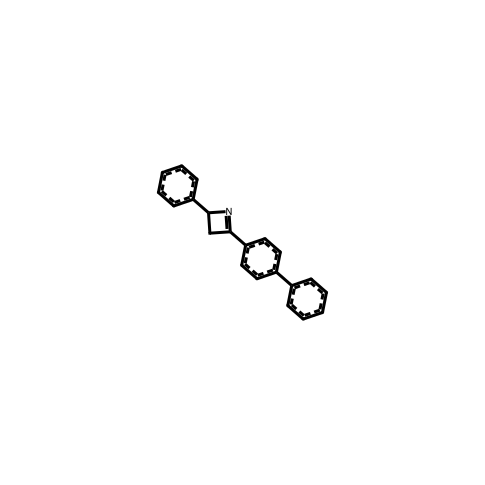 c1ccc(-c2ccc(C3=NC(c4ccccc4)C3)cc2)cc1